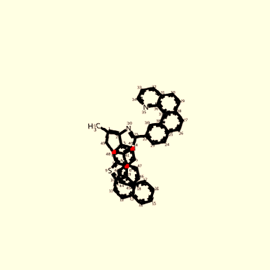 C\C1=C(c2ccc3c(c2)sc2ccc4ccccc4c23)/N=C(c2ccc3ccc4ccc5cccnc5c4c3c2)\N=C(\c2ccccc2)CC1